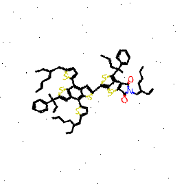 CCCCC(CC)Cc1ccc(-c2c3cc(C(C)(CC)c4ccccc4)sc3c(-c3ccc(CC(CC)CCCC)s3)c3cc(-c4sc(C(C)(CCC)c5ccccc5)c5c6c(sc45)C(=O)N(CC(CC)CCCC)C6=O)sc23)s1